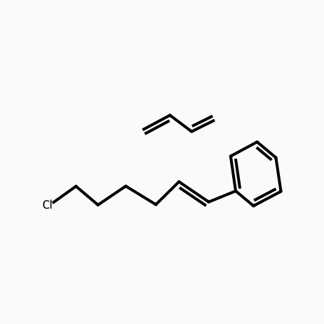 C=CC=C.ClCCCCC=Cc1ccccc1